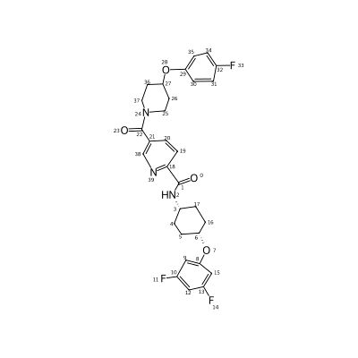 O=C(N[C@H]1CC[C@@H](Oc2cc(F)cc(F)c2)CC1)c1ccc(C(=O)N2CCC(Oc3ccc(F)cc3)CC2)cn1